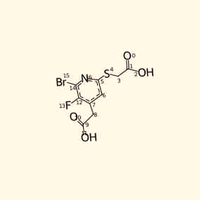 O=C(O)CSc1cc(CC(=O)O)c(F)c(Br)n1